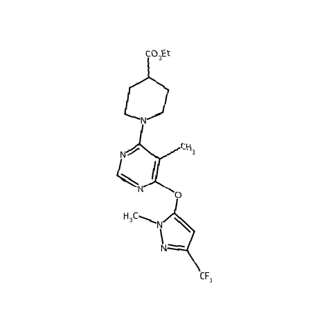 CCOC(=O)C1CCN(c2ncnc(Oc3cc(C(F)(F)F)nn3C)c2C)CC1